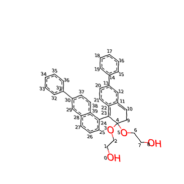 OCCOC1(OCCO)CC=c2cc(-c3ccccc3)ccc2=C1c1cccc2cc(-c3ccccc3)ccc12